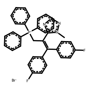 Cn1nnnc1C(C[P+](c1ccccc1)(c1ccccc1)c1ccccc1)=C(c1ccc(F)cc1)c1ccc(F)cc1.[Br-]